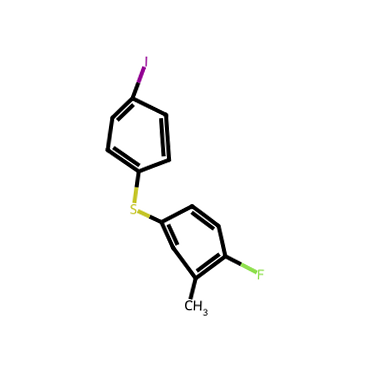 Cc1cc(Sc2ccc(I)cc2)ccc1F